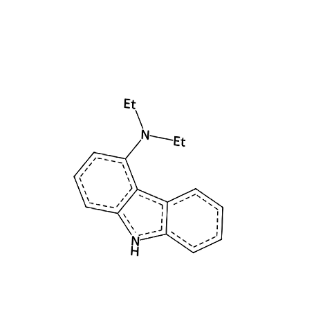 CCN(CC)c1cccc2[nH]c3ccccc3c12